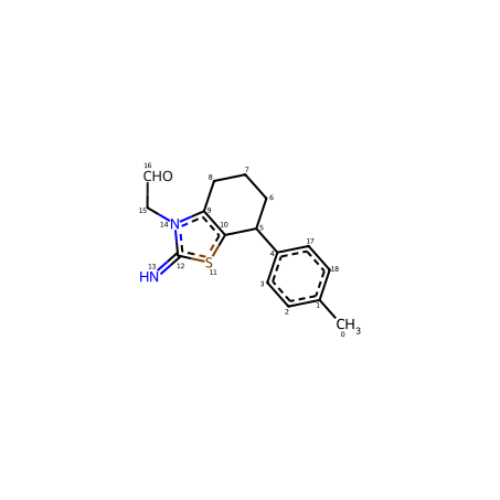 Cc1ccc(C2CCCc3c2sc(=N)n3CC=O)cc1